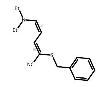 CCN(/C=C\C=C(\C#N)SCc1ccccc1)CC